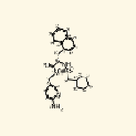 Nc1ccc(CNC(=O)[C@H](Cc2cccc3ccccc23)NS(=O)(=O)CC2CCCCC2)cn1